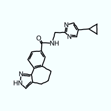 O=C(NCc1ncc(C2CC2)cn1)c1ccc2c(c1)CCCc1c[nH]nc1-2